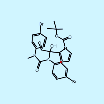 CN(C(=O)N(c1ccc(Br)cc1)C(O)(C=O)c1cccn1C(=O)OC(C)(C)C)c1ccc(Br)cc1